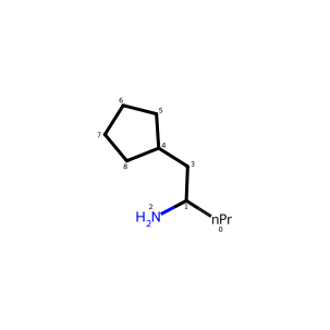 [CH2]CCC(N)CC1CCCC1